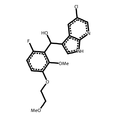 COCCOc1ccc(F)c(C(O)c2c[nH]c3ncc(Cl)cc23)c1OC